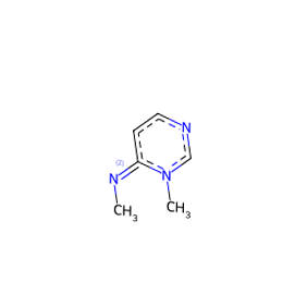 C/N=c1/ccncn1C